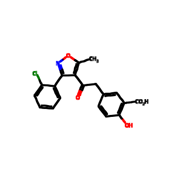 Cc1onc(-c2ccccc2Cl)c1C(=O)Cc1ccc(O)c(C(=O)O)c1